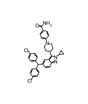 NC(=O)c1ccc(N2CCC(c3c4cc(C(c5ccc(Cl)cc5)c5ccc(Cl)cc5)ccc4nn3C3CC3)CC2)cc1